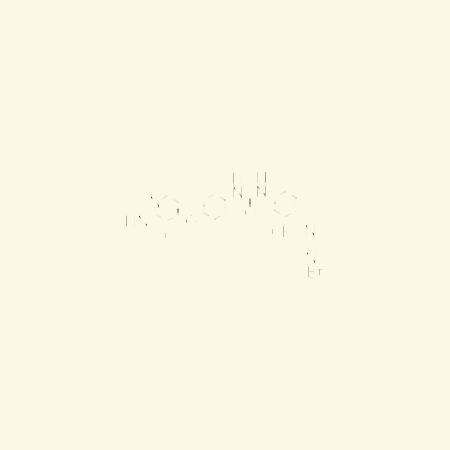 CCN1CCN(Cc2ccc(NC(=O)Nc3ccc(Oc4ccnc5c4OCCCN5)cc3)cc2C(F)(F)F)CC1